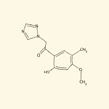 COc1cc(O)c(C(=O)Cn2cncn2)cc1C